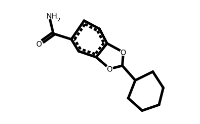 NC(=O)c1ccc2c(c1)OC(C1CCCCC1)O2